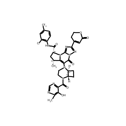 Cc1ncnc(C(=O)N2CCN(c3c4n(c5nc(C6=CC(=O)OCC6)nn5c3=O)[C@@H](C(=O)Nc3ccc(C(F)(F)F)cc3Cl)C[C@H]4C)[C@H]3CC[C@@H]32)c1O